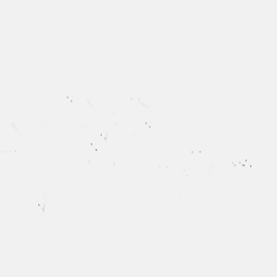 Cc1nc2c(F)c(-c3cccc(Cl)c3Cl)c(CCC#N)cc2c2c1cc(C1CC(Oc3ccc(C#N)cc3F)CN1C(=O)C1CC1)n2C1C2CNC1C2